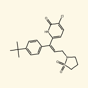 CC(C)(C)c1ccc(C(=CCN2CCCS2(=O)=O)c2ccc(Cl)c(=O)[nH]2)cc1